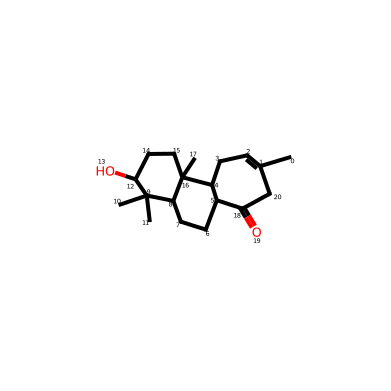 CC1=CCC2C(CCC3C(C)(C)C(O)CCC23C)C(=O)C1